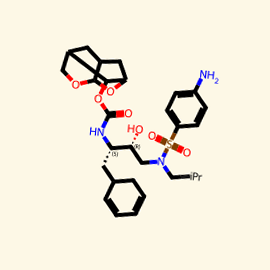 CC(C)CN(C[C@@H](O)[C@H](CC1C=CC=CC1)NC(=O)OC1C2COC3OC1CC3C2)S(=O)(=O)c1ccc(N)cc1